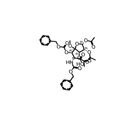 CO[C@@]1([C@H](OC(=O)OCc2ccccc2)[C@@H](NC(=O)OCc2ccccc2)C(=O)O)O[C@H](OC(C)=O)[C@H](OC(C)=O)[C@H]1OC(C)=O